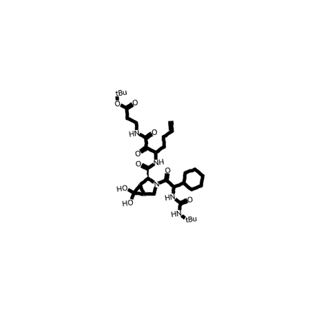 C=CCCC(NC(=O)[C@@H]1C2C(CN1C(=O)C(NC(=O)NC(C)(C)C)C1CCCCC1)C2(O)O)C(=O)C(=O)NCCC(=O)OC(C)(C)C